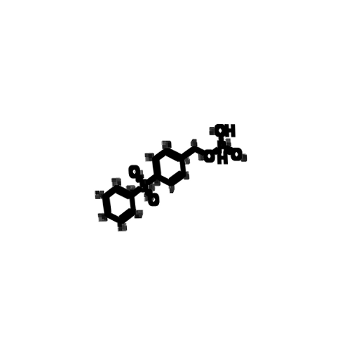 O=[PH](O)OCc1ccc(S(=O)(=O)c2ccccc2)cc1